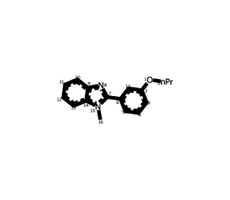 CCCOc1cccc(-c2nc3ccccc3n2C)c1